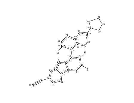 Cc1cc2c(oc3cc(C#N)ccc32)c(-c2c3ccc(C4CCCC4)cc3cc[n+]2C)c1C